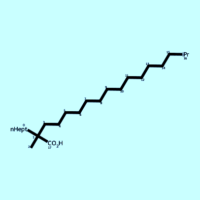 CCCCCCCC(C)(CCCCCCCCCCCCCC(C)C)C(=O)O